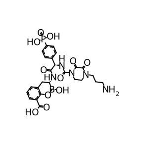 NCCCN1CCN(C(=O)N[C@@H](C(=O)N[C@H]2Cc3cccc(C(=O)O)c3OB2O)c2ccc(P(=O)(O)O)cc2)C(=O)C1=O